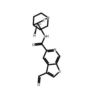 O=Cc1csc2cnc(C(=O)N[C@H]3CN4CCC3CC4)cc12